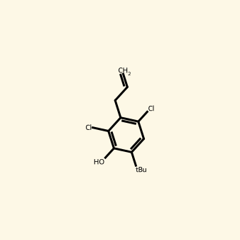 C=CCc1c(Cl)cc(C(C)(C)C)c(O)c1Cl